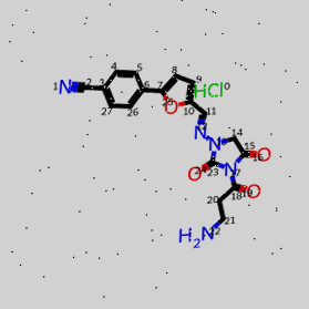 Cl.N#Cc1ccc(-c2ccc(C=NN3CC(=O)N(C(=O)CCN)C3=O)o2)cc1